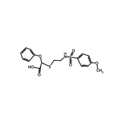 COc1ccc(S(=O)(=O)NCCSC(Oc2ccccc2)C(=O)O)cc1